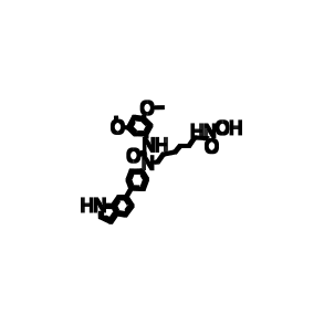 COc1cc(NC(=O)N(CCCCCCC(=O)NO)c2ccc(-c3ccc4cc[nH]c4c3)cc2)cc(OC)c1